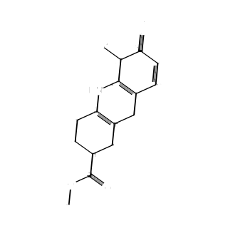 COC(=O)C1CCC2=C(CC3=C(N2)C(C)C(=O)C=C3)C1